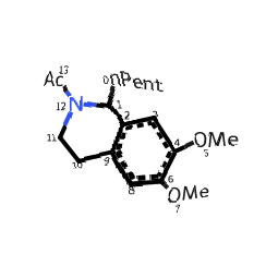 CCCCCC1c2cc(OC)c(OC)cc2CCN1C(C)=O